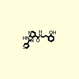 O=C(NCCc1ccccc1O)c1ccnc2[nH]c(-c3ccsc3)nc12